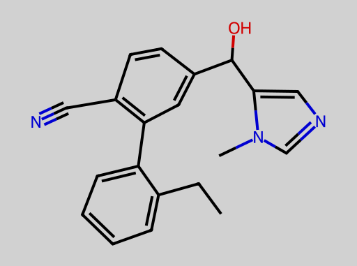 CCc1ccccc1-c1cc(C(O)c2cncn2C)ccc1C#N